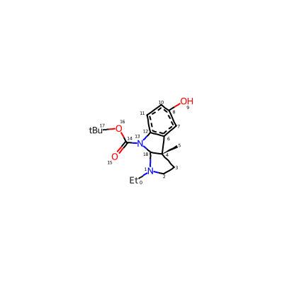 CCN1CC[C@@]2(C)c3cc(O)ccc3N(C(=O)OC(C)(C)C)C12